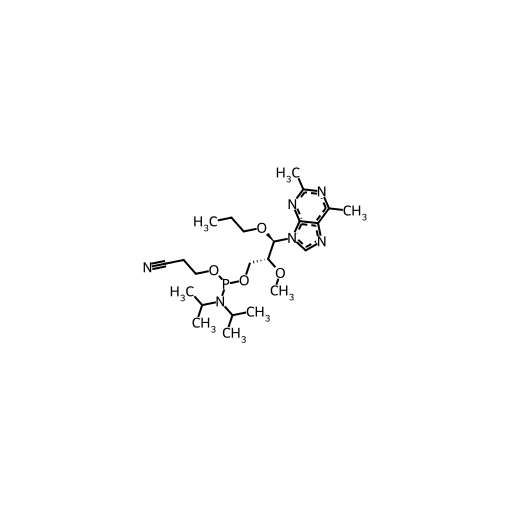 CCCO[C@H]([C@@H](COP(OCCC#N)N(C(C)C)C(C)C)OC)n1cnc2c(C)nc(C)nc21